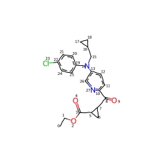 CCOC(=O)C1CC1C(=O)c1ccc(N(CC2CC2)c2ccc(Cl)cc2)cn1